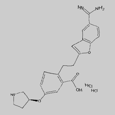 Cl.Cl.N=C(N)c1ccc2oc(CCc3ccc(O[C@H]4CCNC4)cc3C(=O)O)cc2c1